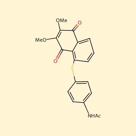 COC1=C(OC)C(=O)c2c(Sc3ccc(NC(C)=O)cc3)cccc2C1=O